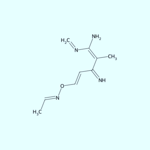 C=N/C(N)=C(/C)C(=N)/C=C/O/N=C/C